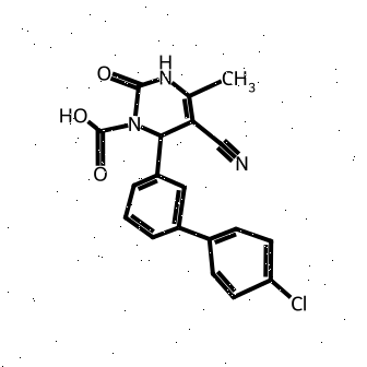 CC1=C(C#N)C(c2cccc(-c3ccc(Cl)cc3)c2)N(C(=O)O)C(=O)N1